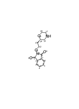 O=C1c2ccccc2C(=O)N1OCC[C@@H]1CNCCO1